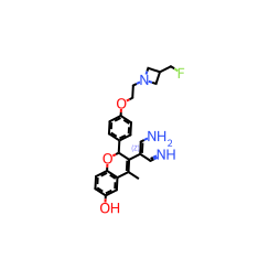 CC1=C(/C(C=N)=C/N)C(c2ccc(OCCN3CC(CF)C3)cc2)Oc2ccc(O)cc21